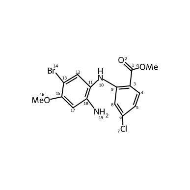 COC(=O)c1ccc(Cl)cc1Nc1cc(Br)c(OC)cc1N